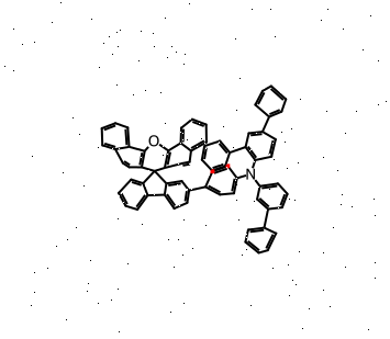 c1ccc(-c2cccc(N(c3ccc(-c4ccc5c(c4)C4(c6ccccc6-5)c5ccc6ccccc6c5Oc5c4ccc4ccccc54)cc3)c3ccc(-c4ccccc4)cc3-c3ccccc3)c2)cc1